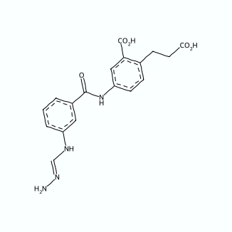 NN=CNc1cccc(C(=O)Nc2ccc(CCC(=O)O)c(C(=O)O)c2)c1